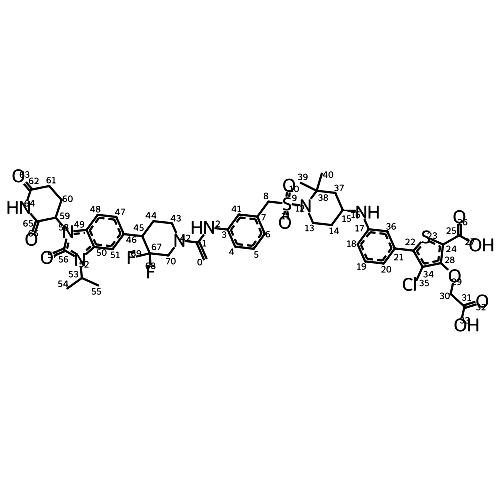 C=C(Nc1cccc(CS(=O)(=O)N2CC[C@H](Nc3cccc(-c4sc(C(=O)O)c(OCC(=O)O)c4Cl)c3)CC2(C)C)c1)N1CCC(c2ccc3c(c2)n(C(C)C)c(=O)n3C2CCC(=O)NC2=O)C(F)(F)C1